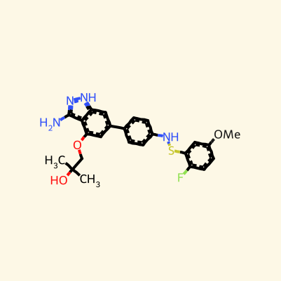 COc1ccc(F)c(SNc2ccc(-c3cc(OCC(C)(C)O)c4c(N)n[nH]c4c3)cc2)c1